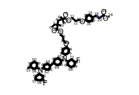 CCC(C)(CC(C)(C)C(=O)OCCCOc1ccc(/C=C/C(=O)OC)cc1)C(=O)OCCCOc1ccc(N(c2ccc(-c3ccc(N(c4cccc(C)c4)c4cccc(F)c4)cc3)cc2)c2cccc(F)c2)cc1